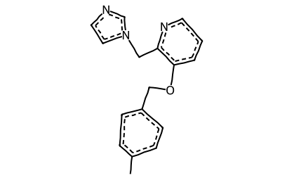 Cc1ccc(COc2cccnc2Cn2ccnc2)cc1